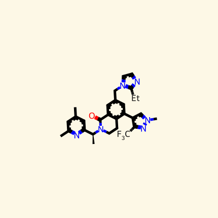 CCc1nccn1Cc1cc2c(c(-c3cn(C)nc3C(F)(F)F)c1)CCN([C@@H](C)c1cc(C)cc(C)n1)C2=O